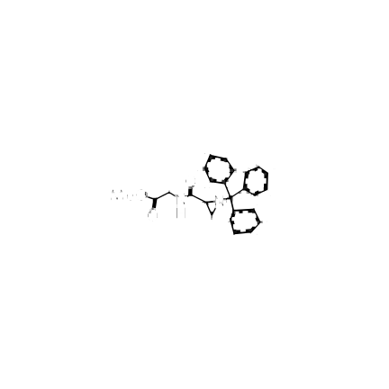 COC(=O)CNC(=O)C1CN1C(c1ccccc1)(c1ccccc1)c1ccccc1